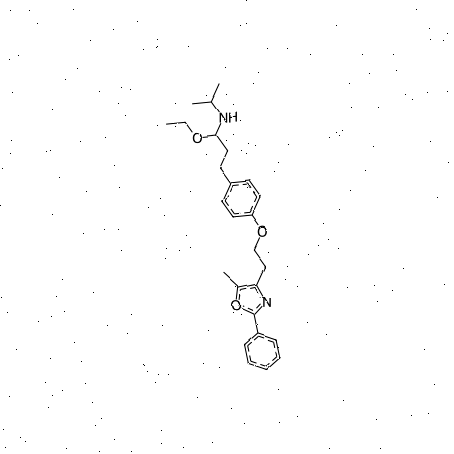 CCOC(CCc1ccc(OCCc2nc(-c3ccccc3)oc2C)cc1)NC(C)C